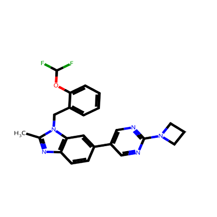 Cc1nc2ccc(-c3cnc(N4C[CH]C4)nc3)cc2n1Cc1ccccc1OC(F)F